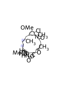 COc1cc2cc(c1Cl)N(C)C(=O)CC[C@@]1(C)CC(C)(O1)C1C[C@@](O)(NC(=O)O1)[C@H](OC)/C=C/C=C(\C)C2